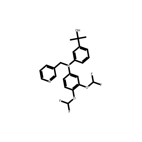 CC(C)(O)c1cccc(N(Cc2cccnc2)c2ccc(OC(F)F)c(OC(F)F)c2)c1